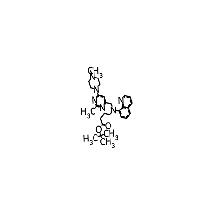 Cc1nc(CN(CCCC(=O)OC(C)(C)C)c2cccc3cccnc23)cc(N2CCN(C)CC2)n1